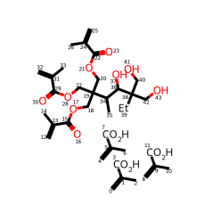 C=C(C)C(=O)O.C=C(C)C(=O)O.C=C(C)C(=O)O.C=C(C)C(=O)OCC(COC(=O)C(=C)C)(COC(=O)C(=C)C)C(C)C(O)C(CC)(CO)CO